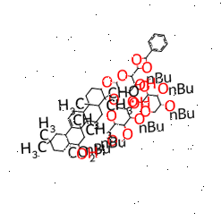 CCCCOCC1O[C@@H](OC2C(O[C@@H]3OC[C@@H](OCCCC)C(OCCCC)C3OCCCC)[C@H](O)C(C3OC(c4ccccc4)O3)O[C@H]2O[C@H]2CCC3(C)C(CCC4(C)C3CC=C3C5CC(C)(C)CC[C@]5(C(=O)O)C(O)CC34C)C2(C)C=O)C(O)C(OCCCC)[C@H]1OCCCC